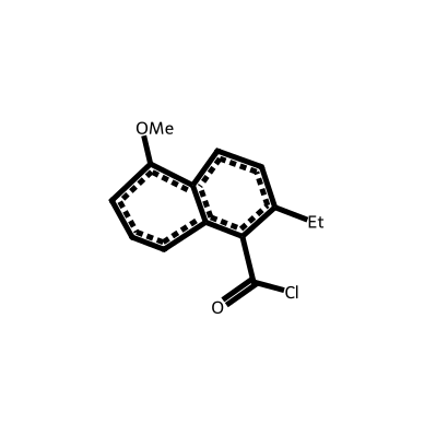 CCc1ccc2c(OC)cccc2c1C(=O)Cl